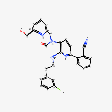 N#Cc1ccccc1-c1ccc(N(C=O)Cc2cccc(CO)n2)c(NCCc2cccc(F)c2)n1